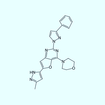 Cc1cc(-c2cc3nc(-n4ccc(-c5ccccc5)n4)nc(N4CCOCC4)c3o2)[nH]n1